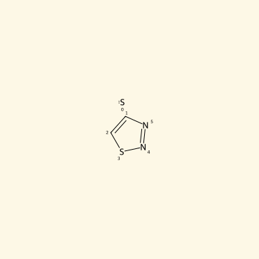 [S].c1csnn1